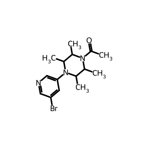 CC(=O)N1C(C)C(C)N(c2cncc(Br)c2)C(C)C1C